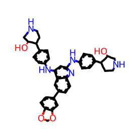 O[C@H]1CNCCC1c1ccc(Nc2cc(Nc3ccc(C4CCNC[C@@H]4O)cc3)c3cc(-c4ccc5c(c4)OCO5)ccc3n2)cc1